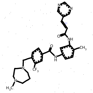 Cc1ccc(NC(=O)c2ccc(CN3CCCN(C)CC3)c(C(F)(F)F)c2)cc1NC(=O)/C=C/c1cncnc1